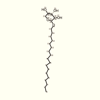 CCCCCCCCCCCCCCCCCCO[C@H]1OC[C@@H](O)[C@H](O)[C@H]1O